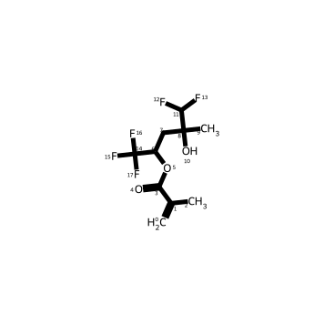 C=C(C)C(=O)OC(CC(C)(O)C(F)F)C(F)(F)F